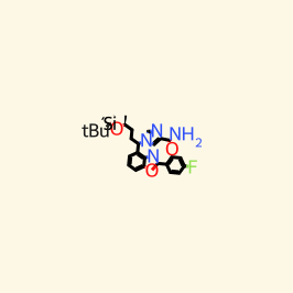 C[C@@H](CCC(c1cccc2oc(-c3ccc(F)cc3)nc12)n1cnc(C(N)=O)c1)O[Si](C)(C)C(C)(C)C